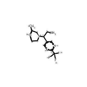 CC1CN(C(CN)c2cnc(C(F)(F)F)nc2)CCO1